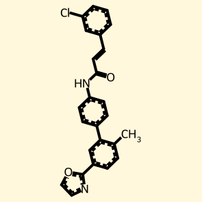 Cc1ccc(-c2ncco2)cc1-c1ccc(NC(=O)C=Cc2cccc(Cl)c2)cc1